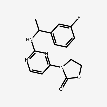 CC(Nc1nccc(N2CCOC2=O)n1)c1cccc(F)c1